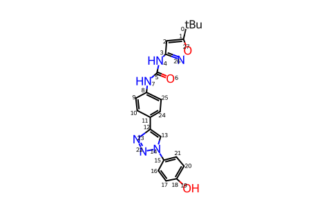 CC(C)(C)c1cc(NC(=O)Nc2ccc(-c3cn(-c4ccc(O)cc4)nn3)cc2)no1